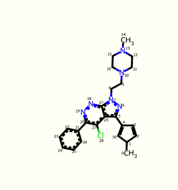 CC1C=CC(c2nn(CCN3CCN(C)CC3)c3nnc(-c4ccccc4)c(Cl)c23)=C1